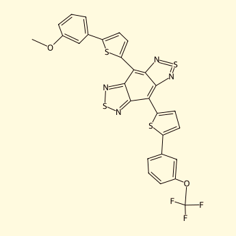 COc1cccc(-c2ccc(-c3c4c(c(-c5ccc(-c6cccc(OC(F)(F)F)c6)s5)c5nsnc35)N=S=N4)s2)c1